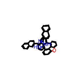 c1ccc2cc(C3=NC(c4ccc5ccccc5c4)NC(c4cccc5oc6cccc(-c7cccc8ccccc78)c6c45)N3)ccc2c1